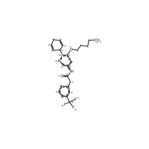 CCCCCOc1cc(=NC(=O)Cc2cccc(C(F)(F)F)c2)cnn1C1C=CCC=C1